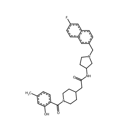 Cc1ccc(C(=O)N2CCC(CC(=O)NC3CCN(Cc4ccc5cc(F)ccc5c4)C3)CC2)c(O)c1